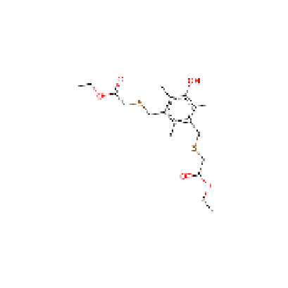 CCOC(=O)CSCc1c(C)c(O)c(C)c(CSCC(=O)OCC)c1C